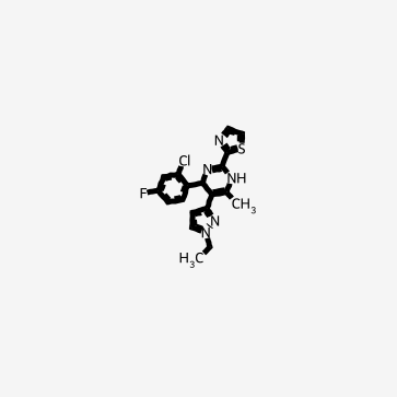 CCn1ccc(C2=C(C)NC(c3nccs3)=NC2c2ccc(F)cc2Cl)n1